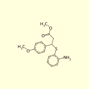 COC(=O)CC(Sc1ccccc1N)c1ccc(OC)cc1